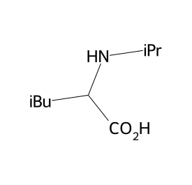 CCC(C)C(NC(C)C)C(=O)O